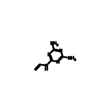 C=CNc1nc(N)nc(N)n1